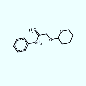 C=C(COC1CCCCO1)[SiH2]c1ccccc1